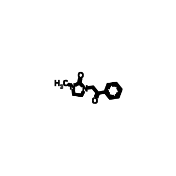 CN1CCN(CC(=O)c2ccccc2)C1=O